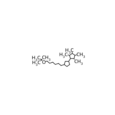 CC1C(C)C(C)C(C2CCC(CCCCCCOC(C)(C)C)C2)C1C